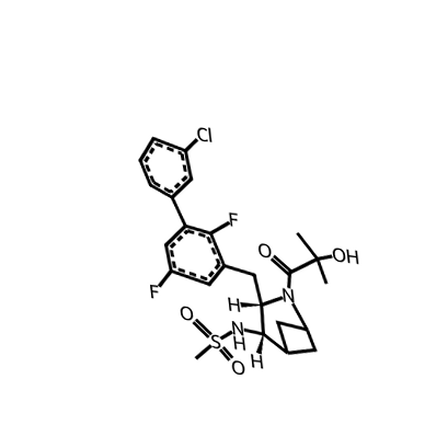 CC(C)(O)C(=O)N1C2CC(C2)[C@H](NS(C)(=O)=O)[C@@H]1Cc1cc(F)cc(-c2cccc(Cl)c2)c1F